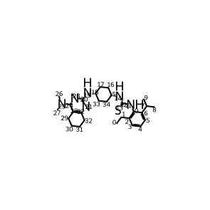 CCc1cccc(C(C)C)c1NC(=S)N[C@H]1CC[C@@H](Nc2nc3c(c(N(C)C)n2)CCCC3)CC1